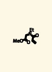 C=CC(=O)N(CC)CC(=O)OC